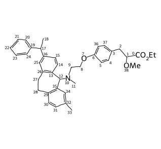 CCOC(=O)C(Cc1ccc(OCCN(C)C2c3ccc(C(C)c4ccccc4)cc3CCc3ccc(C)cc32)cc1)OC